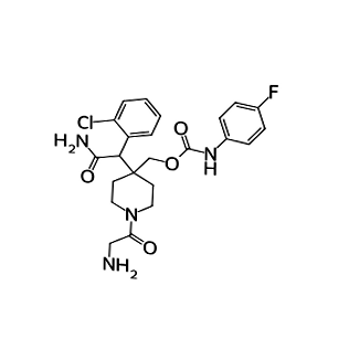 NCC(=O)N1CCC(COC(=O)Nc2ccc(F)cc2)(C(C(N)=O)c2ccccc2Cl)CC1